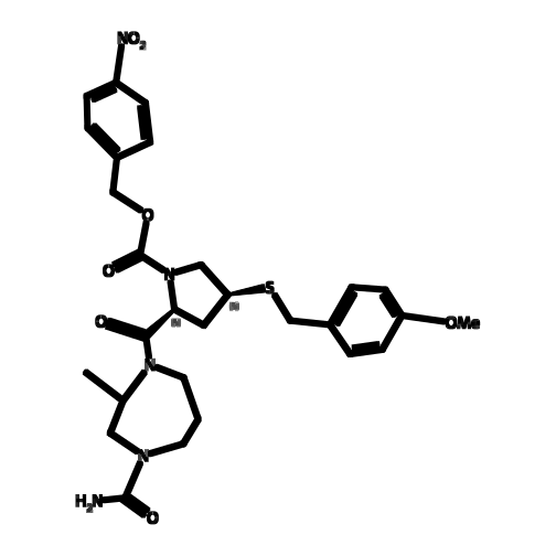 COc1ccc(CS[C@H]2C[C@@H](C(=O)N3CCCN(C(N)=O)CC3C)N(C(=O)OCc3ccc([N+](=O)[O-])cc3)C2)cc1